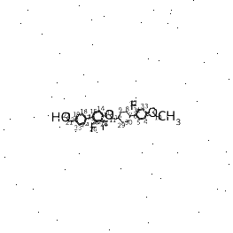 CCOc1ccc(C2CCC(COc3ccc(-c4ccc(CO)cc4)c(F)c3F)CC2)c(F)c1